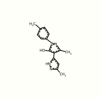 Cc1ccc(-n2nc(C)c(-c3cc(C)n[nH]3)c2O)cc1